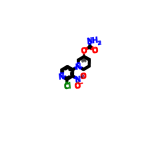 NC(=O)O[C@@H]1CCCN(c2ccnc(Cl)c2[N+](=O)[O-])C1